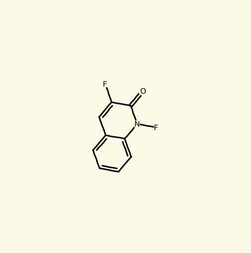 O=c1c(F)cc2ccccc2n1F